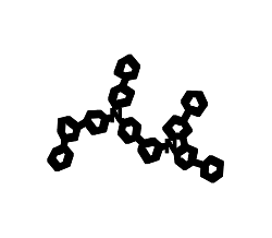 c1ccc(-c2ccc(N(c3ccc(-c4cccc(-c5ccccc5)c4)cc3)c3ccc(-c4cccc(-n5c6ccc(-c7ccccc7)cc6c6cc(-c7ccccc7)ccc65)c4)cc3)cc2)cc1